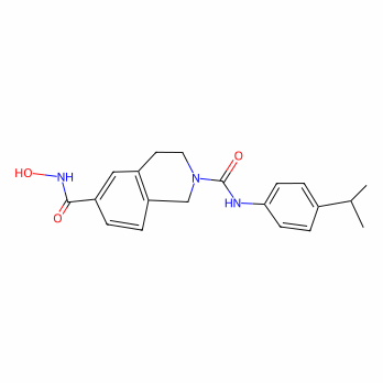 CC(C)c1ccc(NC(=O)N2CCc3cc(C(=O)NO)ccc3C2)cc1